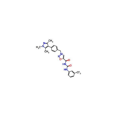 Cc1nn(C)c(C)c1-c1ccc(C[n+]2cc(C(=O)NC(=O)Nc3cccc(C(F)(F)F)c3)on2)cc1